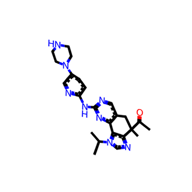 CC(=O)C1(C)Cc2cnc(Nc3ccc(N4CCNCC4)cn3)nc2-c2c1ncn2C(C)C